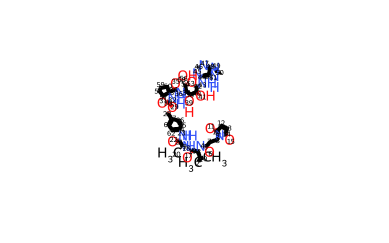 CC(C)[C@H](NC(=O)CCN1C(=O)C=CC1=O)C(=O)N[C@@H](C)C(=O)Nc1ccc(COC(=O)NC2(C(=O)N[C@@H]3[C@@H](O)[C@H](O)[C@@H](Nc4ncnc5nc[nH]c45)O[C@H]3CO)CCCC2)cc1